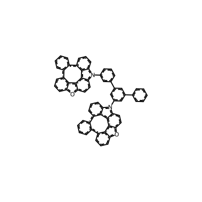 c1ccc(-c2cc(-c3cccc(-n4c5cccc6c7ccccc7c7cccc8oc9ccc4c(c9c87)c65)c3)cc(-n3c4cccc5c6ccccc6c6cccc7oc8ccc3c(c8c76)c54)c2)cc1